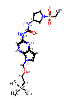 CC(C)CS(=O)(=O)N1CC[C@H](NC(=O)Nc2cnc3c(ccn3COCC[Si](C)(C)C)n2)C1